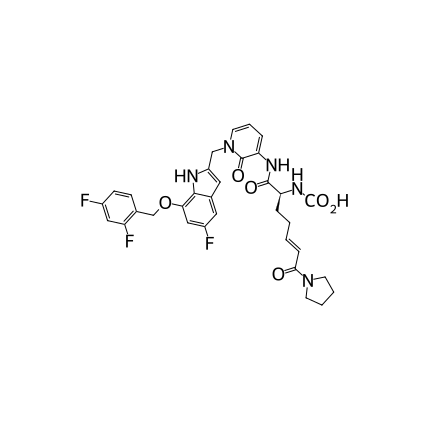 O=C(O)N[C@@H](CC/C=C/C(=O)N1CCCC1)C(=O)Nc1cccn(Cc2cc3cc(F)cc(OCc4ccc(F)cc4F)c3[nH]2)c1=O